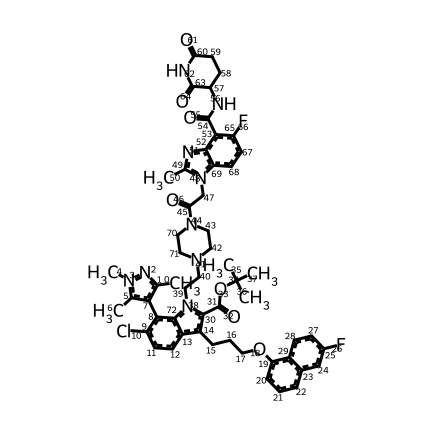 Cc1nn(C)c(C)c1-c1c(Cl)ccc2c(CCCOc3cccc4cc(F)ccc34)c(C(=O)OC(C)(C)C)n(CCN3CCN(C(=O)Cn4c(C)nc5c(C(=O)NC6CCC(=O)NC6=O)c(F)ccc54)CC3)c12